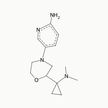 CN(C)C1(C2CN(c3ccc(N)nc3)CCO2)CC1